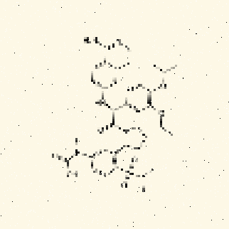 CCOc1cc([C@H](Nc2ccc3c(N)nccc3c2)C(=O)N2CCC[C@H]2c2cc(N(C)C(=O)O)ccc2S(=O)(=O)C(C)C)ccc1OC(C)C